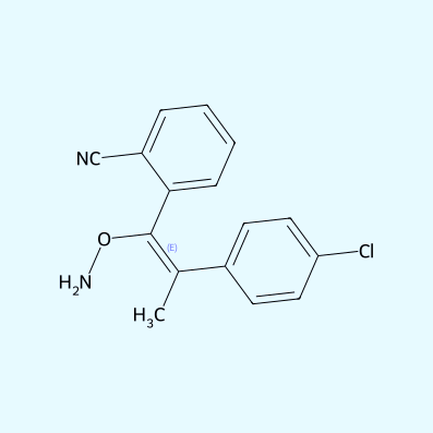 C/C(=C(\ON)c1ccccc1C#N)c1ccc(Cl)cc1